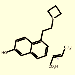 O=C(O)/C=C/C(=O)O.Oc1ccc2c(CCN3CCC3)cccc2c1